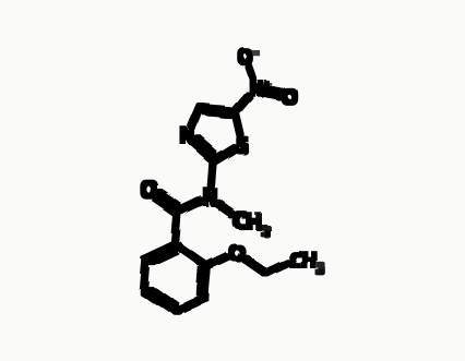 CCOc1ccccc1C(=O)N(C)c1ncc([N+](=O)[O-])s1